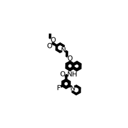 CCOC(=O)C1CCN(CCOc2ccc(NC(=O)c3cc(F)cc(N4CCCCC4)c3)c3ccccc23)CC1